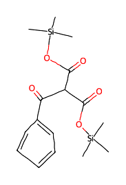 C[Si](C)(C)OC(=O)C(C(=O)O[Si](C)(C)C)C(=O)c1ccccc1